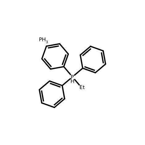 CC[PH](c1ccccc1)(c1ccccc1)c1ccccc1.P